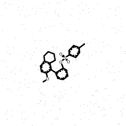 COc1ccc2c(c1-c1ccccc1OS(=O)(=O)c1ccc(C)cc1)CCCC2